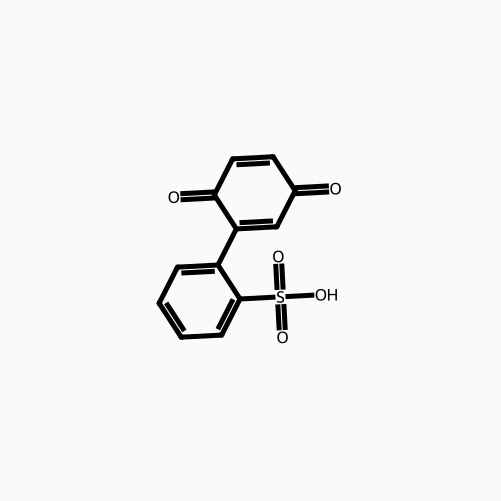 O=C1C=CC(=O)C(c2ccccc2S(=O)(=O)O)=C1